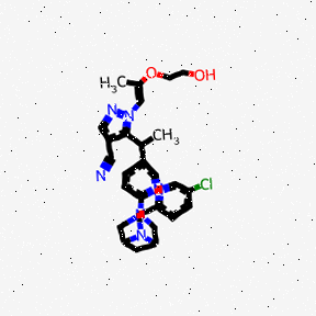 C/C(=C\n1ncc(C#N)c1C(C)c1ccc(N2CC3CC(C2)N3Cc2ccc(Cl)cn2)nc1)OCCO